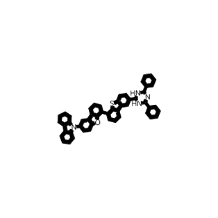 c1ccc(C2=NC(c3ccccc3)NC(c3ccc4sc5c(-c6cccc7c6oc6ccc(-n8c9ccccc9c9ccccc98)cc67)cccc5c4c3)N2)cc1